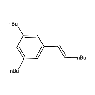 CCCCC=Cc1cc(CCCC)cc(CCCC)c1